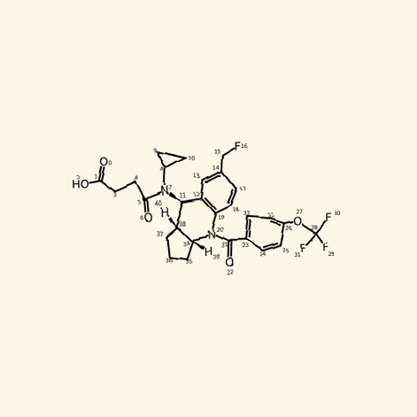 O=C(O)CCC(=O)N(C1CC1)[C@H]1c2cc(CF)ccc2N(C(=O)c2ccc(OC(F)(F)F)cc2)[C@@H]2CCC[C@@H]21